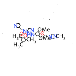 COc1cc(Nc2nccc(N(CCc3cccnc3)C(=O)Oc3c(C)cc(C)cc3C)n2)cc(OC)c1OCCCN1CCN(C)CC1